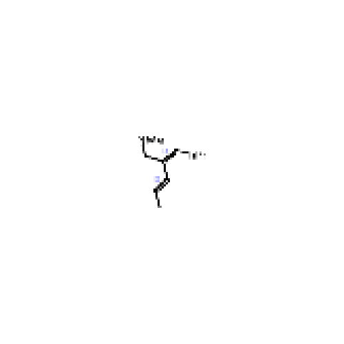 C/C=C/C(=C\CCC)CNC